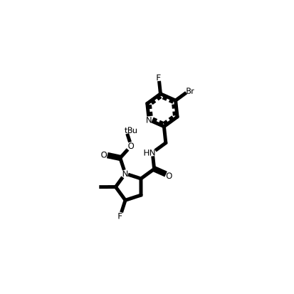 CC1C(F)CC(C(=O)NCc2cc(Br)c(F)cn2)N1C(=O)OC(C)(C)C